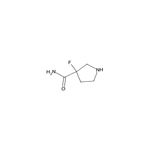 NC(=O)C1(F)CCNC1